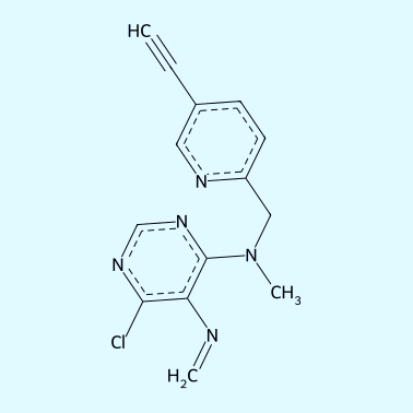 C#Cc1ccc(CN(C)c2ncnc(Cl)c2N=C)nc1